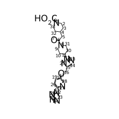 O=C(O)N1CCC(CC(=O)N2CCC(n3ncc(COc4ccc(-n5cnnn5)nc4)n3)CC2)CC1